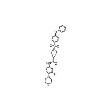 O=C(Nc1ccc(N2CCOCC2)c(F)c1)C1C2CN(S(=O)(=O)c3ccc(Oc4ccccc4)cc3)CC21